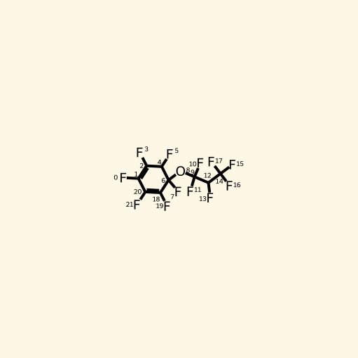 FC1=C(F)C(F)C(F)(OC(F)(F)C(F)C(F)(F)F)C(F)=C1F